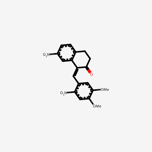 COc1cc(C=C2C(=O)CCc3ccc([N+](=O)[O-])cc32)c([N+](=O)[O-])cc1OC